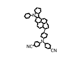 N#Cc1ccc(N(c2ccc(C#N)cc2)c2ccc(-c3ccc4ccc5c6c(ccc3c46)cc3c5c4ccccc4n3-c3ccccc3)cc2)cc1